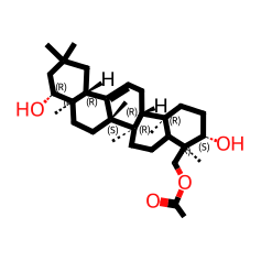 CC(=O)OC[C@@]1(C)C2CC[C@]3(C)[C@H](CC=C4[C@H]5CC(C)(C)C[C@@H](O)[C@]5(C)CC[C@]43C)[C@@]2(C)CC[C@@H]1O